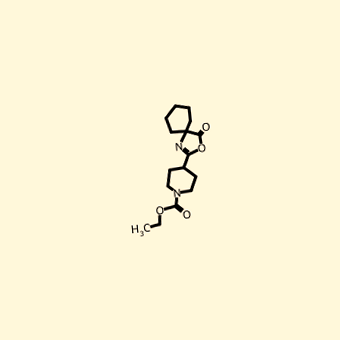 CCOC(=O)N1CCC(C2=NC3(CCCCC3)C(=O)O2)CC1